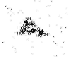 CC(C)(ON=C(C(=O)N[C@@H]1C(=O)N(S(=O)(=O)O)[C@H]1CNC(=O)c1ccc(CNC(=O)c2cc(O)c(O)cn2)cc1)c1csc(N)n1)C(=O)O